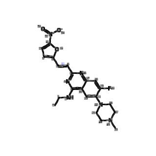 CCNc1nc(/C=C/c2ccc([N+](=O)[O-])o2)nc2cc(F)c(N3CCN(C)CC3)cc12